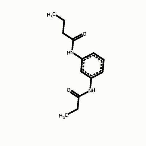 CCCC(=O)Nc1cccc(NC(=O)CC)c1